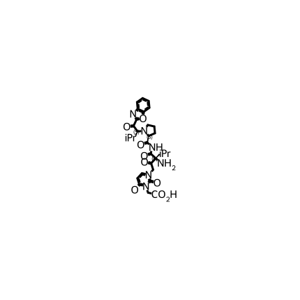 CC(C)[C@@H](C(=O)c1nc2ccccc2o1)N1CCC[C@H]1C(=O)NC(=O)[C@](N)(C(=O)Cn1ccc(=O)n(CC(=O)O)c1=O)C(C)C